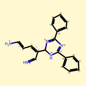 N=C/C(=C\C=C\N)C1N=C(c2ccccc2)N=C(c2ccccc2)N1